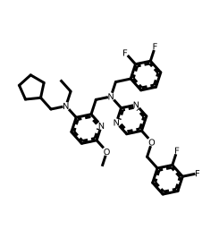 CCN(CC1CCCC1)c1ccc(OC)nc1CN(Cc1cccc(F)c1F)c1ncc(OCc2cccc(F)c2F)cn1